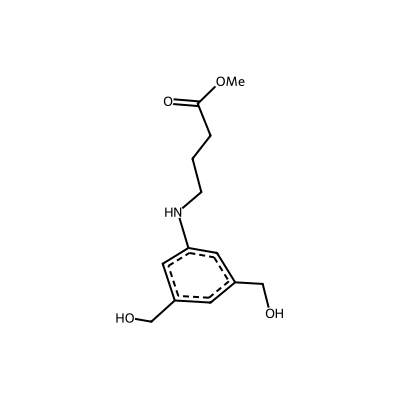 COC(=O)CCCNc1cc(CO)cc(CO)c1